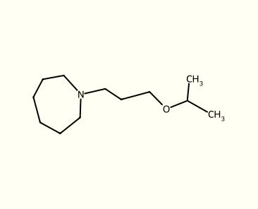 CC(C)OCCCN1CCCCCC1